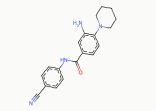 N#Cc1ccc(NC(=O)c2ccc(N3CCCCC3)c(N)c2)cc1